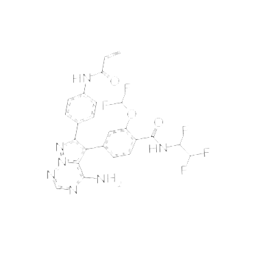 C=CC(=O)Nc1ccc(-c2nn3ncnc(N)c3c2-c2ccc(C(=O)NC(F)C(F)F)c(OC(F)F)c2)cc1